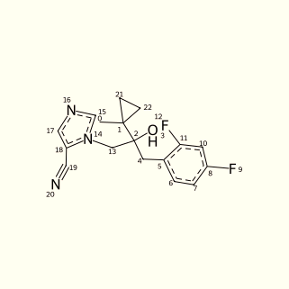 CC1(C(O)(Cc2ccc(F)cc2F)Cn2cncc2C#N)CC1